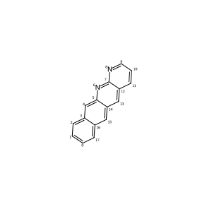 c1ccc2cc3nc4ncccc4cc3cc2c1